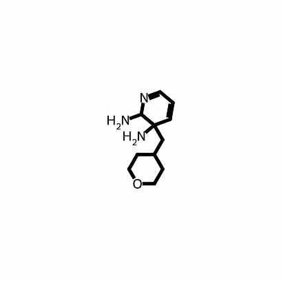 NC1N=CC=CC1(N)CC1CCOCC1